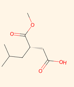 COC(=O)[C@H](CC(=O)O)CC(C)C